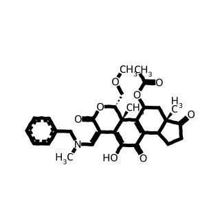 COC[C@H]1OC(=O)C(=CN(C)Cc2ccccc2)C2=C(O)C(=O)C3=C(C(OC(C)=O)C[C@]4(C)C(=O)CCC34)[C@]21C